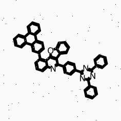 c1ccc(-c2nc(-c3ccccc3)nc(-c3ccc(-c4nc5cccc(-c6ccc7c8ccccc8c8ccccc8c7c6)c5c5oc6ccccc6c45)cc3)n2)cc1